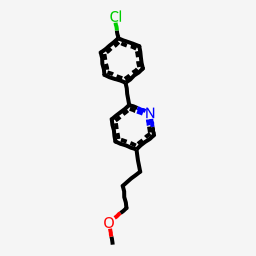 COCCCc1ccc(-c2ccc(Cl)cc2)nc1